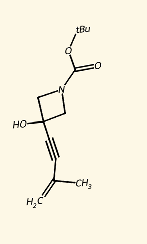 C=C(C)C#CC1(O)CN(C(=O)OC(C)(C)C)C1